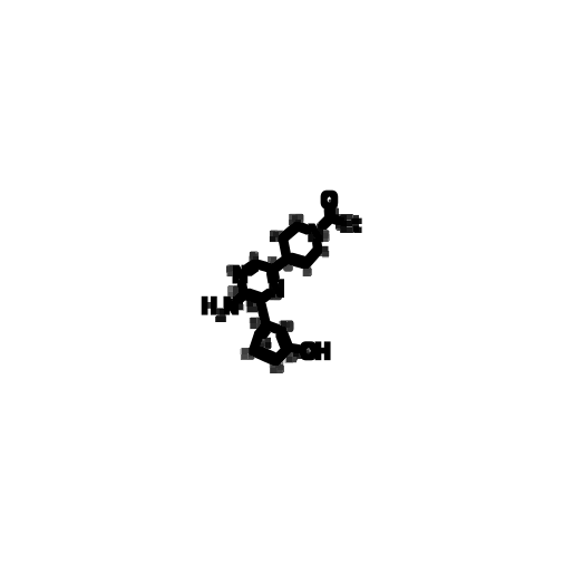 CCC(=O)N1CC=C(c2cnc(N)c(-c3cccc(O)c3)n2)CC1